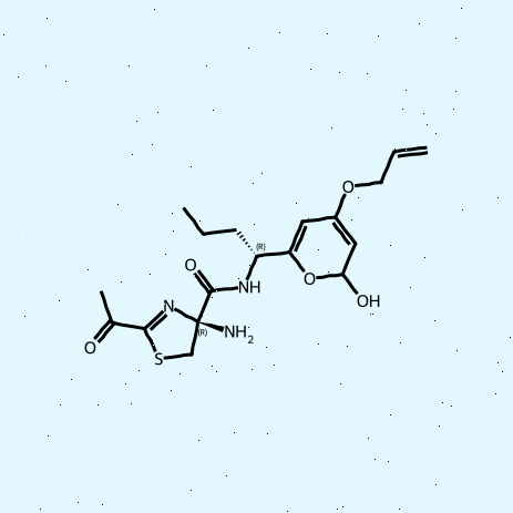 C=CCOC1=CC(O)OC([C@@H](CCC)NC(=O)[C@]2(N)CSC(C(C)=O)=N2)=C1